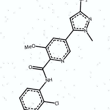 COc1cc(-c2cc(C(F)(F)F)nn2C)cnc1C(=O)Nc1ccccc1Cl